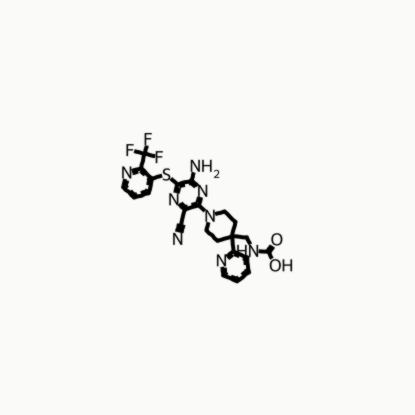 N#Cc1nc(Sc2cccnc2C(F)(F)F)c(N)nc1N1CCC(CNC(=O)O)(c2ccccn2)CC1